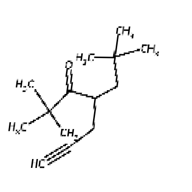 C#CCC(CC(C)(C)C)C(=O)C(C)(C)C